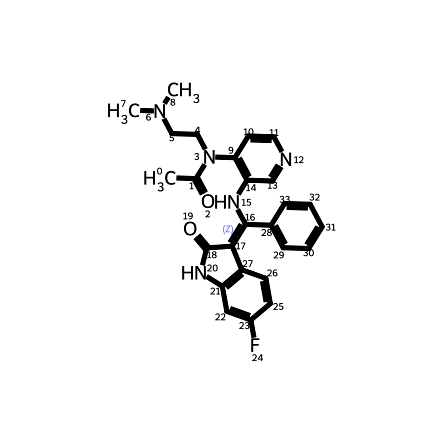 CC(=O)N(CCN(C)C)c1ccncc1N/C(=C1\C(=O)Nc2cc(F)ccc21)c1ccccc1